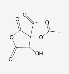 CC(=O)OC1(C(C)=O)C(=O)OC(=O)C1O